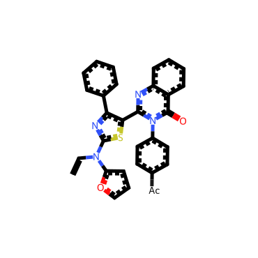 C=CN(c1ccco1)c1nc(-c2ccccc2)c(-c2nc3ccccc3c(=O)n2-c2ccc(C(C)=O)cc2)s1